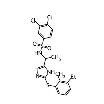 CCc1cccc(Sc2ncc(C(C)NS(=O)(=O)c3ccc(Cl)c(Cl)c3)[nH]2)c1C